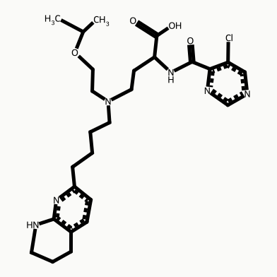 CC(C)OCCN(CCCCc1ccc2c(n1)NCCC2)CCC(NC(=O)c1ncncc1Cl)C(=O)O